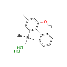 Cc1cc([O][Ti])c(-c2ccccc2)c([Si](C)(C)C(C)(C)C)c1.Cl.Cl